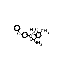 Cc1ccc(C(N)=O)c(COc2ccc(Oc3ccccc3)cc2)c1C